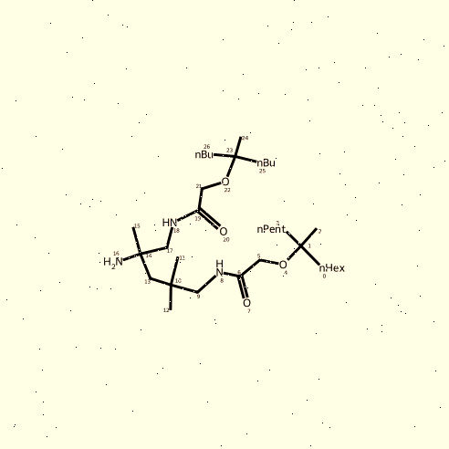 CCCCCCC(C)(CCCCC)OCC(=O)NCC(C)(C)CC(C)(N)CNC(=O)COC(C)(CCCC)CCCC